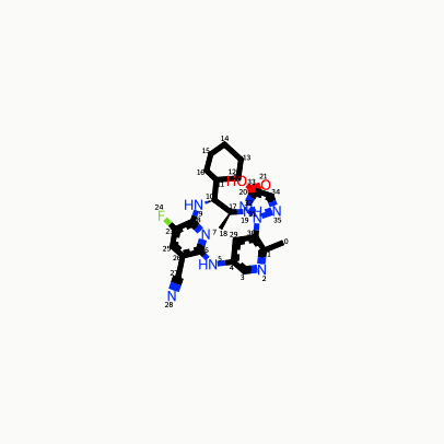 Cc1ncc(Nc2nc(N[C@H](C3CCCCC3)[C@H](C)NC(=O)O)c(F)cc2C#N)cc1-n1nccn1